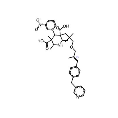 C/C(=C\c1ccc(Cc2cccnc2)cc1)COCC(C)(C)CC1(C(=O)O)C(C)NC(C)C(C)(C(=O)O)C1c1cccc([N+](=O)[O-])c1